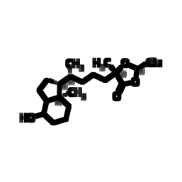 C[C@H](CCC[C@]1(C)O[C@@H](C(C)(C)C)OC1=O)[C@H]1CCC2C(O)CCC[C@@]21C